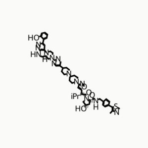 Cc1ncsc1-c1ccc(CNC(=O)[C@@H]2C[C@@H](O)CN2C(=O)[C@@H](c2cc(N3CCC(N4CCC(c5cnc(N6CCN7c8cc(-c9ccccc9O)nnc8NC[C@H]7C6)nc5)CC4)CC3)no2)C(C)C)cc1